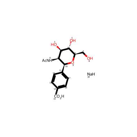 CC(=O)N[C@H]1[C@@H](O)[C@H](O)[C@@H](CO)O[C@H]1c1ccc(C(=O)O)cc1.[NaH]